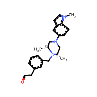 C[C@@H]1CN(c2ccc3c(ccn3C)c2)C[C@H](C)N1Cc1cccc(CC=O)c1